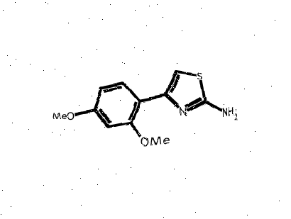 COc1ccc(-c2csc(N)n2)c(OC)c1